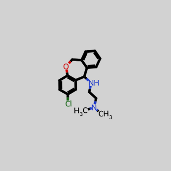 CN(C)CCNC1c2ccccc2COc2ccc(Cl)cc21